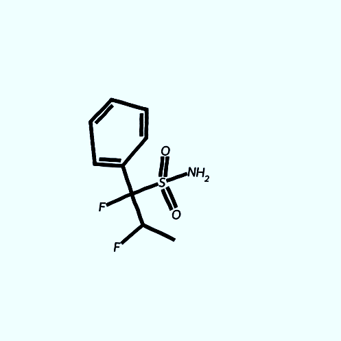 CC(F)C(F)(c1ccccc1)S(N)(=O)=O